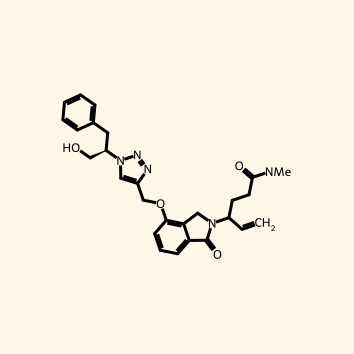 C=CC(CCC(=O)NC)N1Cc2c(OCc3cn([C@@H](CO)Cc4ccccc4)nn3)cccc2C1=O